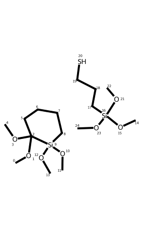 COC1(OC)CCCC[Si]1(OC)OC.CO[Si](CCCS)(OC)OC